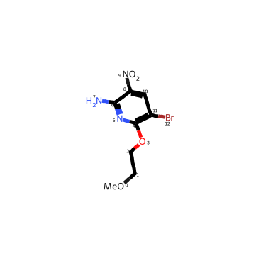 COCCOc1nc(N)c([N+](=O)[O-])cc1Br